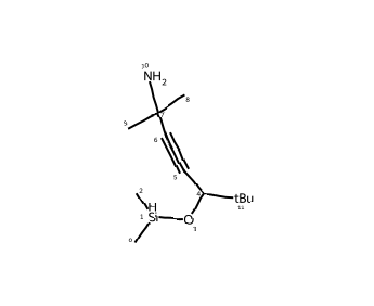 C[SiH](C)OC(C#CC(C)(C)N)C(C)(C)C